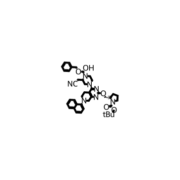 CC(C)(C)OC(=O)N1CCC[C@H]1COc1nc2c(c(N3CCN(C(O)OCc4ccccc4)C(CC#N)C3)n1)CCN(c1cccc3ccccc13)C2